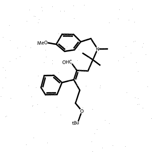 COc1ccc(CN(C)C(C)(C)C/C(C=O)=C(\CCOC(C)(C)C)c2ccccc2)cc1